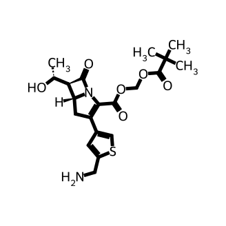 C[C@@H](O)[C@H]1C(=O)N2C(C(=O)OCOC(=O)C(C)(C)C)=C(c3csc(CN)c3)C[C@H]12